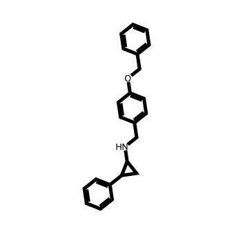 c1ccc(COc2ccc(CNC3CC3c3ccccc3)cc2)cc1